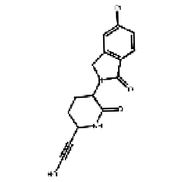 CCc1ccc2c(c1)CN(C1CCC(C#CO)NC1=O)C2=O